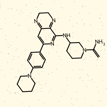 C=C(N)N1CCCC(Nc2nc(-c3ccc(N4CCCCC4)cc3)cc3c2=NCCN=3)C1